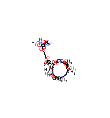 CO[C@H]1C[C@@H]2CC[C@@H](C)[C@@](O)(O2)C(=O)C(=O)N2CCCC[C@H]2C(=O)O[C@H]([C@H](C)C[C@@H]2CC[C@@H](OC(=O)CCCCCOC(=O)c3c(I)c(NC(C)=O)c(C)c(NC(C)=O)c3I)[C@H](OC)C2)CC(=O)[C@H](C)/C=C(\C)[C@@H](O)[C@@H](OC)C(=O)[C@H](C)C[C@H](C)/C=C/C=C/C=C/1C